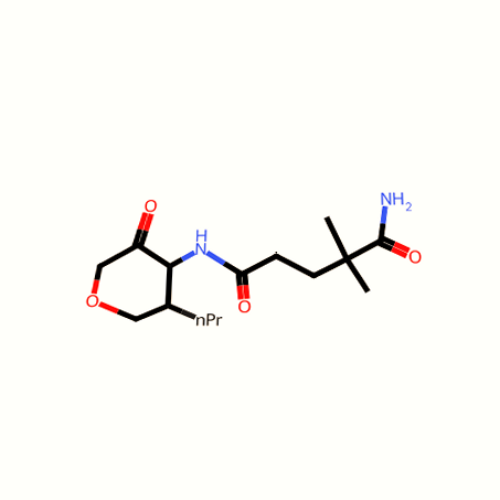 CCCC1COCC(=O)C1NC(=O)[CH]CC(C)(C)C(N)=O